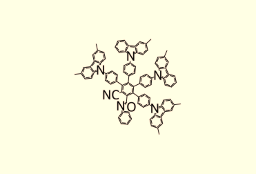 Cc1ccc2c(c1)c1ccccc1n2-c1ccc(-c2c(-c3ccc(-n4c5ccc(C)cc5c5cc(C)ccc54)cc3)c(C#N)c(-c3nc4ccccc4o3)c(-c3ccc(-n4c5ccc(C)cc5c5cc(C)ccc54)cc3)c2-c2ccc(-n3c4ccccc4c4cc(C)ccc43)cc2)cc1